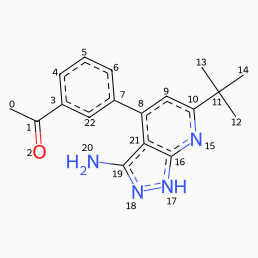 CC(=O)c1cccc(-c2cc(C(C)(C)C)nc3[nH]nc(N)c23)c1